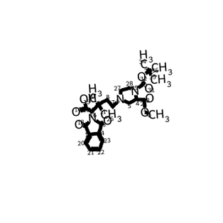 COC(=O)C1CN(CCC(C)(C)C(C(=O)O)N2C(=O)c3ccccc3C2=O)CCN1C(=O)OC(C)(C)C